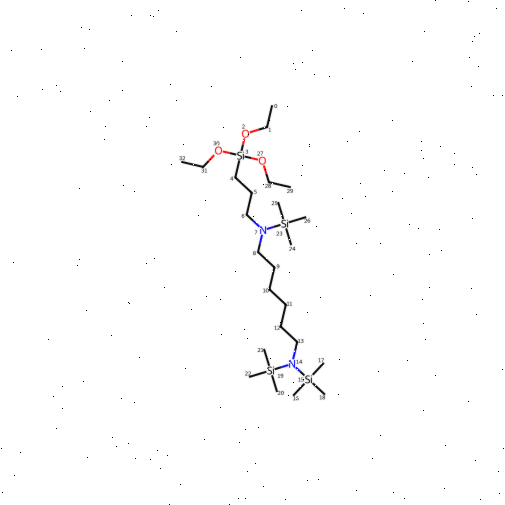 CCO[Si](CCCN(CCCCCCN([Si](C)(C)C)[Si](C)(C)C)[Si](C)(C)C)(OCC)OCC